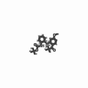 COc1ccc(C(=O)C(C)(C)C)c(Nc2ccccc2NC(=O)OC(C)(C)C)c1